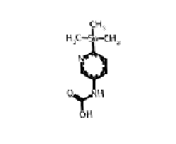 [CH3][Sn]([CH3])([CH3])[c]1ccc(NC(=O)O)cn1